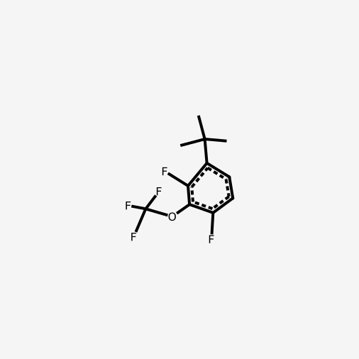 CC(C)(C)c1ccc(F)c(OC(F)(F)F)c1F